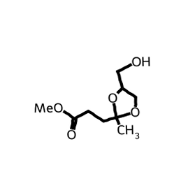 COC(=O)CCC1(C)OCC(CO)O1